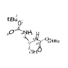 CC(C)(C)OC(=O)NC[C@H](CS)NC(=O)OC(C)(C)C